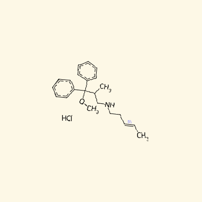 C/C=C/CCNCC(C)C(OC)(c1ccccc1)c1ccccc1.Cl